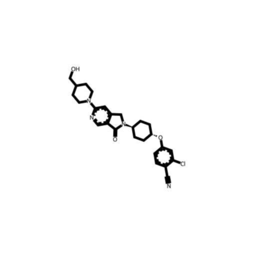 N#Cc1ccc(O[C@H]2CC[C@H](N3Cc4cc(N5CCC(CO)CC5)ncc4C3=O)CC2)cc1Cl